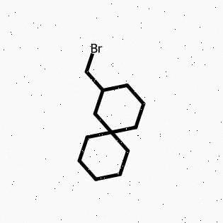 BrCC1CCCC2(CCCCC2)C1